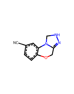 N#Cc1ccc2c(c1)N1CNN=C1CO2